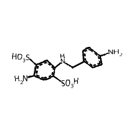 Nc1ccc(CNc2cc(S(=O)(=O)O)c(N)cc2S(=O)(=O)O)cc1